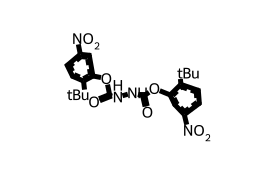 CC(C)(C)c1ccc([N+](=O)[O-])cc1OC(=O)NNC(=O)Oc1cc([N+](=O)[O-])ccc1C(C)(C)C